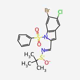 CC(C)(C)[S+]([O-])/N=C/c1cc2cc(Cl)c(Br)cc2n1S(=O)(=O)c1ccccc1